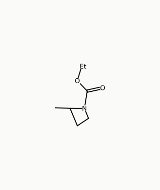 CCOC(=O)N1CCC1C